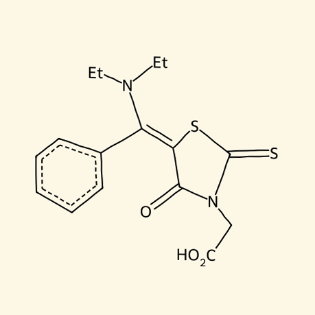 CCN(CC)C(=C1SC(=S)N(CC(=O)O)C1=O)c1ccccc1